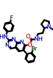 CN1CCCC1CCNC(=O)Oc1nc2nc(Nc3ccc(F)cc3)ncc2cc1-c1ccccc1Br